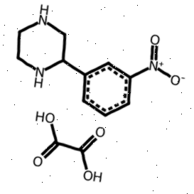 O=C(O)C(=O)O.O=[N+]([O-])c1cccc(C2CNCCN2)c1